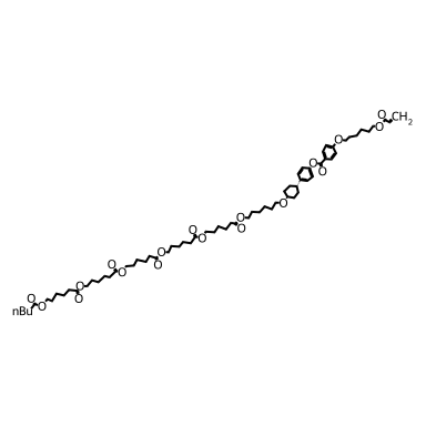 C=CC(=O)OCCCCCCOc1ccc(C(=O)Oc2ccc([C@H]3CC[C@H](OCCCCCCOC(=O)CCCCCOC(=O)CCCCCOC(=O)CCCCCOC(=O)CCCCCOC(=O)CCCCCOC(=O)CCCC)CC3)cc2)cc1